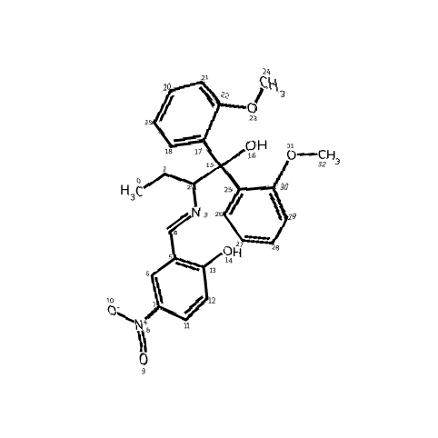 CCC(N=Cc1cc([N+](=O)[O-])ccc1O)C(O)(c1ccccc1OC)c1ccccc1OC